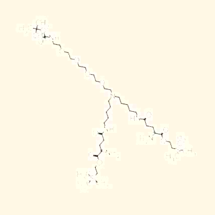 CC(C)(C)OC(=O)NCCOCCOCCOCCOCCN(CCCCCNC(=O)CC[C@H](N)C(=O)OCC[Si](C)(C)C)CCCCCNC(=O)CC[C@H](N)C(=O)OCC[Si](C)(C)C